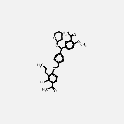 CCCc1c(OCc2ccc(C(OC3CCCCO3)c3ccc(OC)c(C(N)=O)c3)cc2)ccc(C(C)=O)c1O